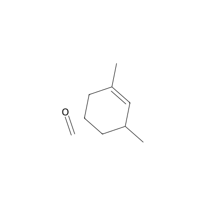 C=O.CC1=CC(C)CCC1